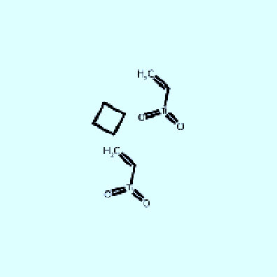 C1CCC1.C=[CH][Ti](=[O])=[O].C=[CH][Ti](=[O])=[O]